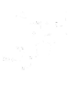 CCOC(=O)c1ncn([C@H]2CCc3sc(NC(=O)C4CC4)c(S(=O)(=O)NCC4CC4)c3C2)c1N